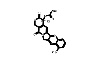 CC[C@@]1(OC(=O)OCC(C)C)C(=O)OCc2c1cc1n(c2=O)Cc2cc3c([N+](=O)[O-])cccc3nc2-1